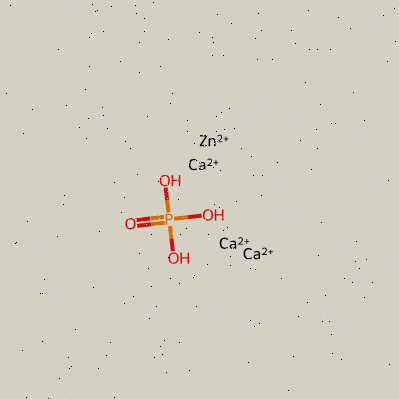 O=P(O)(O)O.[Ca+2].[Ca+2].[Ca+2].[Zn+2]